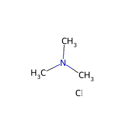 CN(C)C.[C]